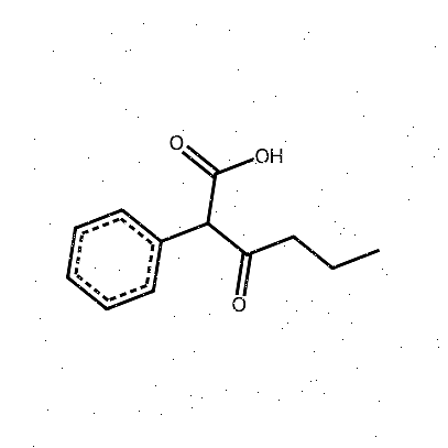 CCCC(=O)C(C(=O)O)c1ccccc1